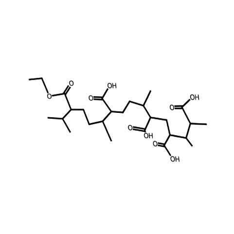 CCOC(=O)C(CCC(C)C(CCC(C)C(CC(C(=O)O)C(C)C(C)C(=O)O)C(=O)O)C(=O)O)C(C)C